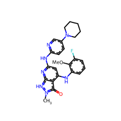 COc1c(F)cccc1Nc1cc(Nc2ccc(N3CCCCC3)cn2)nc2[nH]n(C)c(=O)c12